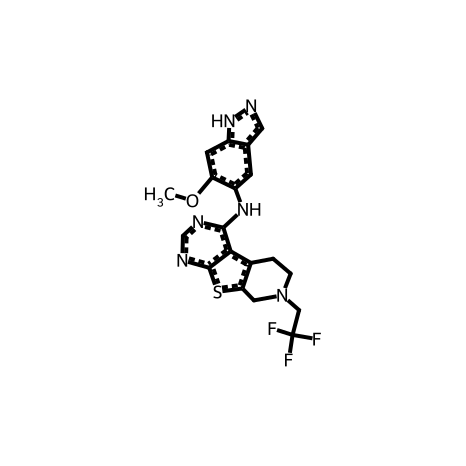 COc1cc2[nH]ncc2cc1Nc1ncnc2sc3c(c12)CCN(CC(F)(F)F)C3